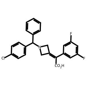 O=C(O)C(=C1CN(C(c2ccccc2)c2ccc(Cl)cc2)C1)c1cc(F)cc(F)c1